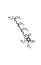 CC(C)=CCC/C(C)=C/CC/C(C)=C/CCC1CC(=O)c2cc(O)c(C)c(C)c2O1